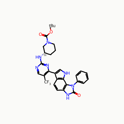 CC(C)(C)OC(=O)N1CCC[C@H](Nc2ncc(C(F)(F)F)c(-c3c[nH]c4c3ccc3[nH]c(=O)n(-c5ccccc5)c34)n2)C1